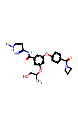 CCN/C=C\C(=N)NC(=O)c1cc(Oc2ccc(C(=O)N3CCC3)cc2)cc(O[C@@H](C)CO)c1